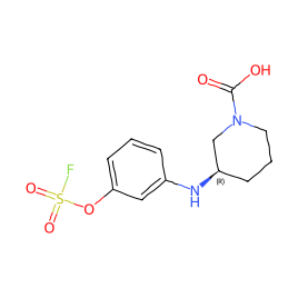 O=C(O)N1CCC[C@@H](Nc2cccc(OS(=O)(=O)F)c2)C1